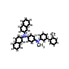 CCc1ccccc1-c1cccc(N(C)c2ccc(N(c3ccc4ccccc4c3)c3ccc4ccccc4c3)cc2)c1